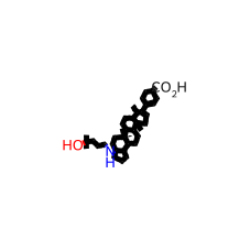 CC1C(C2=CCC(C(=O)O)CC2)=CCC2(C)C1CCC1(C)C2CCC2C3CCCC3(NCCCC(C)(C)O)CC[C@]21C